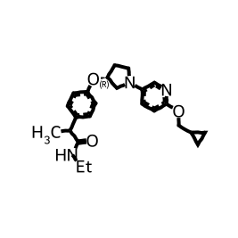 CCNC(=O)C(C)c1ccc(O[C@@H]2CCN(c3ccc(OCC4CC4)nc3)C2)cc1